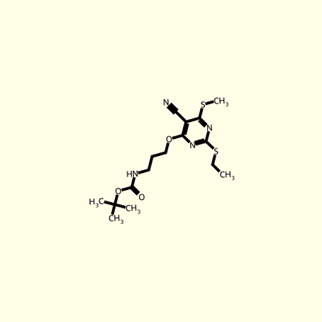 CCSc1nc(OCCCNC(=O)OC(C)(C)C)c(C#N)c(SC)n1